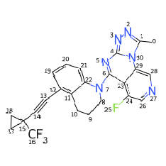 Cc1nnc2nc(N3CCCc4c(C#CC5(C(F)(F)F)CC5)cccc43)c3c(F)cncc3n12